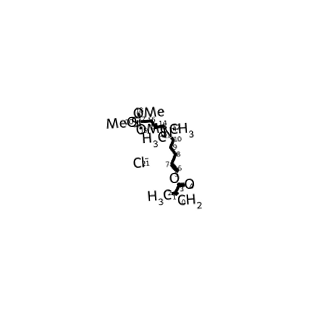 C=C(C)C(=O)OC=CCCC[N+](C)(C)CCC[Si](OC)(OC)OC.[Cl-]